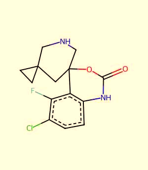 O=C1Nc2ccc(Cl)c(F)c2C2(CNCC3(CC3)C2)O1